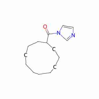 O=C(C1CCCCCCCCCC1)n1ccnc1